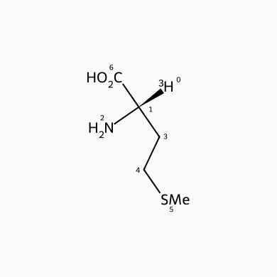 [3H][C@](N)(CCSC)C(=O)O